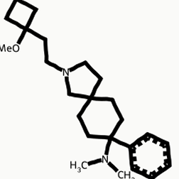 COC1(CCN2CCC3(CCC(c4ccccc4)(N(C)C)CC3)C2)CCC1